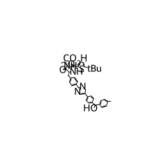 Cc1ccc(C(O)c2ccc(-c3cnc(-c4ccc(C[C@H](NC(=O)c5ccc(C(C)(C)C)s5)C(=O)N[C@H](C)C(=O)O)cc4)nc3)cc2)cc1